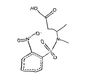 CC(CC(=O)O)N(C)S(=O)(=O)c1ccccc1[N+](=O)[O-]